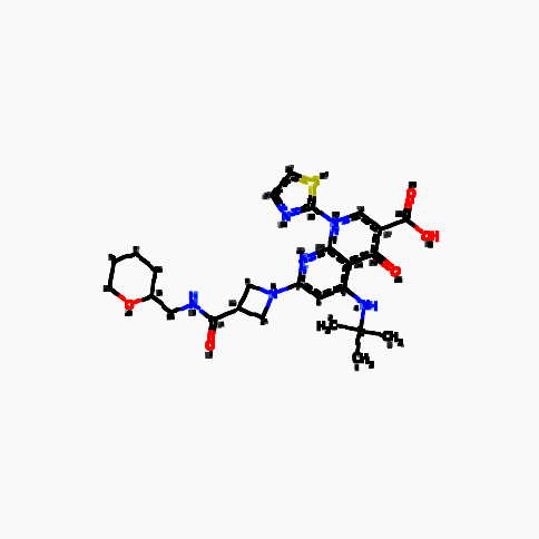 CC(C)(C)Nc1cc(N2CC(C(=O)NCC3CCCCO3)C2)nc2c1c(=O)c(C(=O)O)cn2-c1nccs1